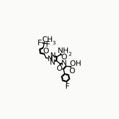 CC(F)(F)c1ccc(Cn2nc(C(N)=O)c(-c3nc(C(=O)O)c(-c4ccc(F)cc4)o3)n2)o1